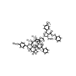 COc1ccc(C2O[C@H]3C[C@H]4OC[C@@]4(C)[C@H]4[C@H](OC(=O)c5ccccc5)[C@]5(O)C[C@H](OC(=O)[C@@H]6OC(c7ccc(C)cc7)N(C(=O)OCc7ccccc7)[C@H]6CC(C)C)C(C)=C([C@H](C)[C@H](O2)[C@]34C)C5(C)C)cc1